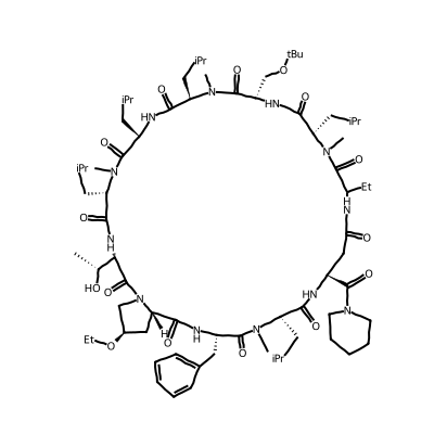 CCO[C@@H]1C[C@H]2C(=O)N[C@@H](Cc3ccccc3)C(=O)N(C)[C@@H](CC(C)C)C(=O)N[C@H](C(=O)N3CCCCC3)CC(=O)NC(CC)C(=O)N(C)[C@@H](CC(C)C)C(=O)N[C@@H](COC(C)(C)C)C(=O)N(C)[C@H](CC(C)C)C(=O)N[C@H](CC(C)C)C(=O)N(C)[C@@H](CC(C)C)C(=O)N[C@@H]([C@@H](C)O)C(=O)N2C1